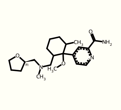 COC1(c2ccnc(C(N)=O)c2)C(C)CCCC1CN(C)C[C@H]1CCCO1